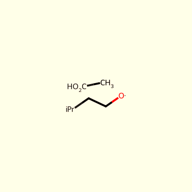 CC(=O)O.CC(C)CC[O]